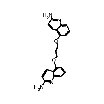 Nc1ccc2c(OCCCOc3cccc4nc(N)ccc34)cccc2n1